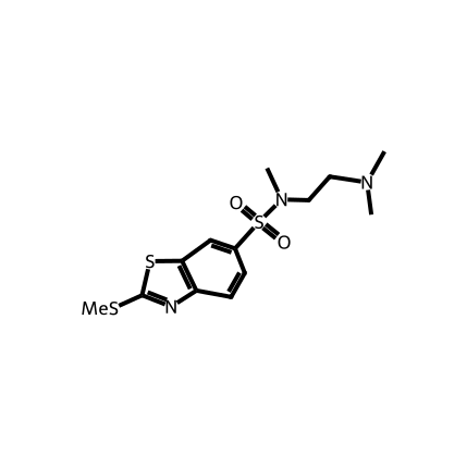 CSc1nc2ccc(S(=O)(=O)N(C)CCN(C)C)cc2s1